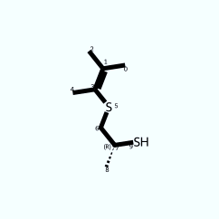 CC(C)=C(C)SC[C@@H](C)S